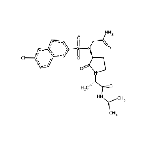 CC(C)NC(=O)[C@H](C)N1CC[C@H](N(CC(N)=O)S(=O)(=O)c2ccc3cc(Cl)ccc3c2)C1=O